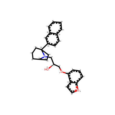 O[C@H](COc1cccc2occc12)CN1C2CCCC1(c1ccc3ccccc3c1)CC2